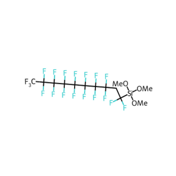 CO[Si](OC)(OC)C(F)(F)CC(F)(F)C(F)(F)C(F)(F)C(F)(F)C(F)(F)C(F)(F)C(F)(F)C(F)(F)F